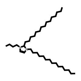 CCCCCCCCCCCCCCCC1N(CCCC)C=CN1CCCCCCCCCCCCCCC